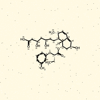 CC[C@H](Oc1cccc(C)c1)C(=O)O[C@H]1C[C@H](O)C=C2C=C[C@@H](C)[C@H](CC[C@@H](O)C[C@@H](O)CC(=O)O)[C@H]21